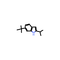 CC(C)c1cc2ccc(C(C)(C)C)cc2[nH]1